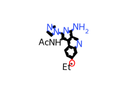 CCOc1ccc2c(c1)ncc1c(N)nc(-n3ccnc3)c(NC(C)=O)c12